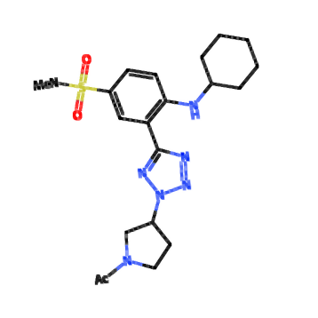 CNS(=O)(=O)c1ccc(NC2CCCCC2)c(-c2nnn(C3CCN(C(C)=O)C3)n2)c1